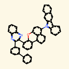 c1ccc(-c2cccc(-c3nc4ccccc4nc3-c3cccc4c3Oc3ccc(-n5c6ccccc6c6cc7ccccc7cc65)c5cccc-4c35)c2)cc1